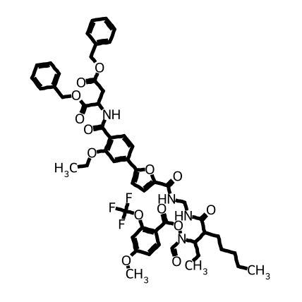 CCCCCC(C(=O)NCNC(=O)c1ccc(-c2ccc(C(=O)NC(CC(=O)OCc3ccccc3)C(=O)OCc3ccccc3)c(OCC)c2)o1)C(CC)N(C=O)OC(=O)c1ccc(OC)cc1OC(F)(F)F